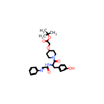 CC(C)(C)OC(=O)COC1CCN(C(=O)C(Cc2ccc(O)cc2)NC(=O)/[C]=N/c2ccccc2)CC1